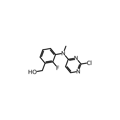 CN(c1ccnc(Cl)n1)c1cccc(CO)c1F